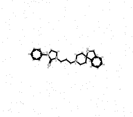 O=C1N(CCCN2CCC3(CC2)OCc2ccccc23)CCN1c1ccccc1